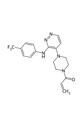 C=CC(=O)N1CCN(c2ccnnc2Nc2ccc(C(F)(F)F)cc2)CC1